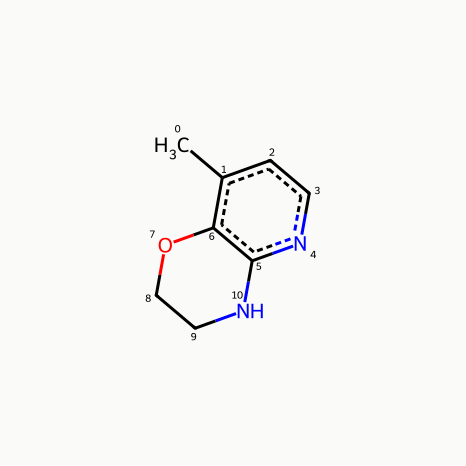 Cc1ccnc2c1OCCN2